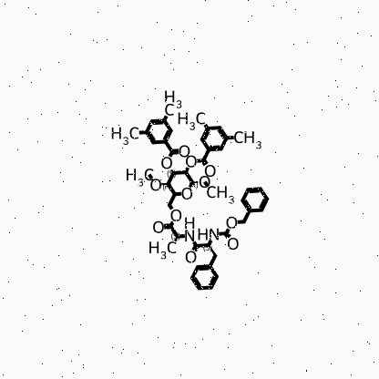 CO[C@@H]1OC(COC(=O)[C@H](C)NC(=O)[C@H](Cc2ccccc2)NC(=O)OCc2ccccc2)[C@@H](OC)[C@H](OC(=O)c2cc(C)cc(C)c2)C1OC(=O)c1cc(C)cc(C)c1